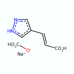 O=C(O)/C=C/c1cn[nH]c1.O=C([O-])O.[Na+]